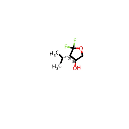 CC(C)[C@H]1[C@H](O)COC1(F)F